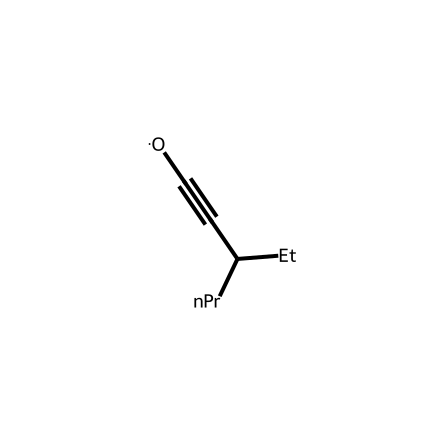 CCCC(C#C[O])CC